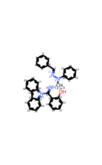 CN(/N=C/c1ccccc1)c1ccccc1.N=C(c1ccccc1O)n1c2ccccc2c2ccccc21